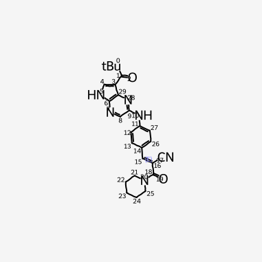 CC(C)(C)C(=O)c1c[nH]c2ncc(Nc3ccc(/C=C(\C#N)C(=O)N4CCCCC4)cc3)nc12